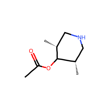 CC(=O)OC1[C@H](C)CNC[C@@H]1C